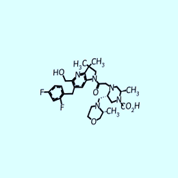 C[C@@H]1COCCN1C[C@H]1CN(C(=O)O)[C@H](C)CN1CC(=O)N1CC(C)(C)c2nc(CO)c(Cc3ccc(F)cc3F)cc21